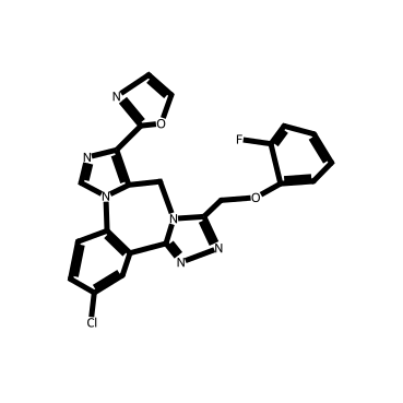 Fc1ccccc1OCc1nnc2n1Cc1c(-c3ncco3)ncn1-c1ccc(Cl)cc1-2